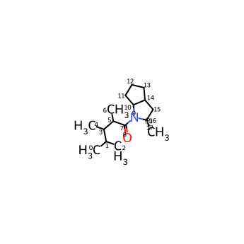 CC(C)C(C)C(C)C(=O)N1C2CCCC2C[C@H]1C